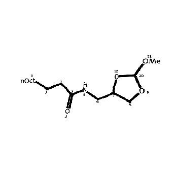 CCCCCCCCCCC(=O)NCC1COC(OC)O1